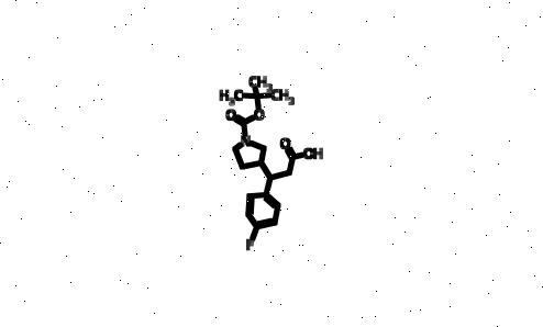 CC(C)(C)OC(=O)N1CCC(C(CC(=O)O)c2ccc(F)cc2)C1